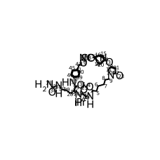 CC(C)[C@H](NC(=O)CCCCCN1CC(Oc2ccc(C#N)cc2)=CC1=O)C(=O)N[C@@H](CCCNC(N)=O)C(=O)Nc1ccc(COC(=O)O)cc1